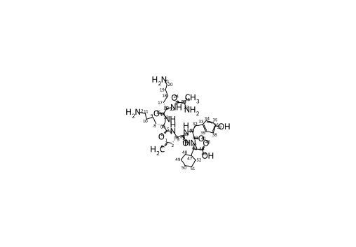 C=CC[C@H](NC(=O)[C@H](CCCCN)NC(=O)[C@H](CCCCN)NC(=O)[C@H](C)N)C(=O)N[C@@H](Cc1ccc(O)cc1)C(=O)N[C@H](C(=O)O)C1CCCCC1